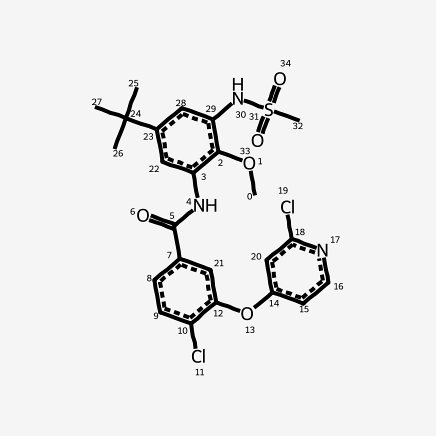 COc1c(NC(=O)c2ccc(Cl)c(Oc3ccnc(Cl)c3)c2)cc(C(C)(C)C)cc1NS(C)(=O)=O